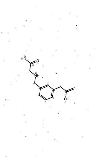 C=C(O)Cc1cccc(CNCC(=O)O)c1